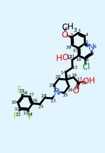 COc1ccc2ncc(Cl)c([C@@H](O)CCC3(CC(=O)O)CCN(CCCc4cc(F)cc(F)c4F)CC3)c2c1